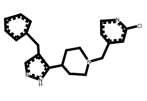 Clc1cc(CN2CCC(c3[nH]ncc3Cc3ccccc3)CC2)ccn1